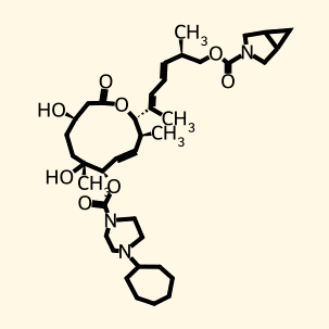 C/C(=C\C=C\[C@@H](C)COC(=O)N1CC2CC2C1)[C@H]1OC(=O)C[C@H](O)CC[C@@](C)(O)[C@@H](OC(=O)N2CCN(C3CCCCCC3)CC2)/C=C/[C@@H]1C